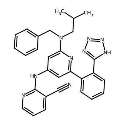 CC(C)CN(Cc1ccccc1)c1cc(Nc2ncccc2C#N)cc(-c2ccccc2-c2nnn[nH]2)n1